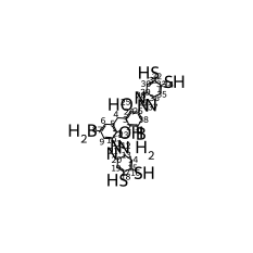 Bc1cc(Cc2cc(B)cc(-n3nc4cc(S)c(S)cc4n3)c2O)c(O)c(-n2nc3cc(S)c(S)cc3n2)c1